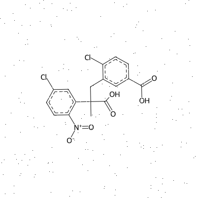 CC(Cc1cc(C(=O)O)ccc1Cl)(C(=O)O)c1cc(Cl)ccc1[N+](=O)[O-]